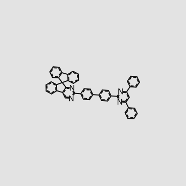 c1ccc(-c2cc(-c3ccccc3)nc(-c3ccc(-c4ccc(-c5ncc6c(n5)C5(c7ccccc7-c7ccccc75)c5ccccc5-6)cc4)cc3)n2)cc1